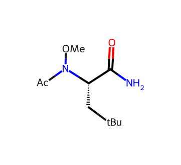 CON(C(C)=O)[C@@H](CC(C)(C)C)C(N)=O